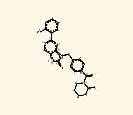 CC(C)c1ccccc1-c1ncc2[nH]c(=O)n(Cc3ccc(C(=O)N4CCCCC4C)cc3)c2n1